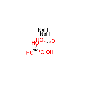 O=C(O)O.O=[Si](O)O.[NaH].[NaH]